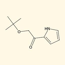 CC(C)(C)OCC(=O)c1ccc[nH]1